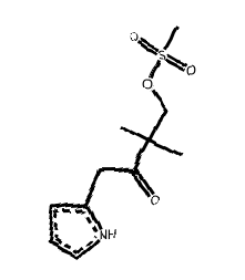 CC(C)(COS(C)(=O)=O)C(=O)Cc1ccc[nH]1